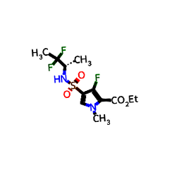 CCOC(=O)c1c(F)c(S(=O)(=O)N[C@@H](C)C(C)(F)F)cn1C